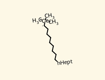 CCCCCCCCCCCCCCC[CH][Ge]([CH3])([CH3])[CH3]